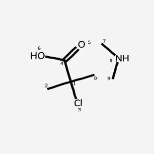 CC(C)(Cl)C(=O)O.CNC